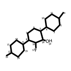 CC1CCC(C2CCC(C3CCC(C)CC3)C(F)C2O)CC1